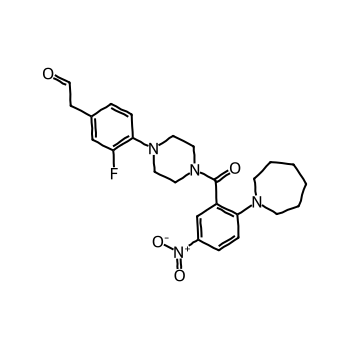 O=CCc1ccc(N2CCN(C(=O)c3cc([N+](=O)[O-])ccc3N3CCCCCC3)CC2)c(F)c1